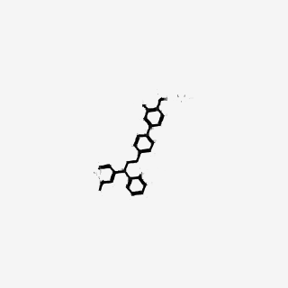 COC(=O)c1ccc(-c2ccc(CCC(c3ccnc(C)c3)c3ccccc3C=O)cc2)cc1Cl